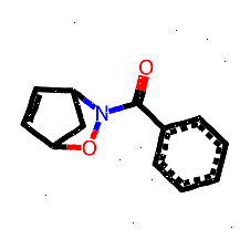 O=C(c1ccccc1)N1OC2C=CC1C2